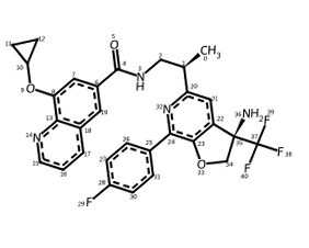 C[C@H](CNC(=O)c1cc(OC2CC2)c2ncccc2c1)c1cc2c(c(-c3ccc(F)cc3)n1)OC[C@@]2(N)C(F)(F)F